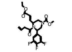 C=CCC(=O)N1C(/C=C/C(=O)OCC)CN(C(=O)OC)CC1c1cc(F)c(F)c(F)c1